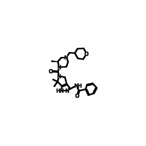 C[C@H]1CN(CC2CCOCC2)CCN1C(=O)N1Cc2c(NC(=O)c3ccccc3)n[nH]c2C1(C)C